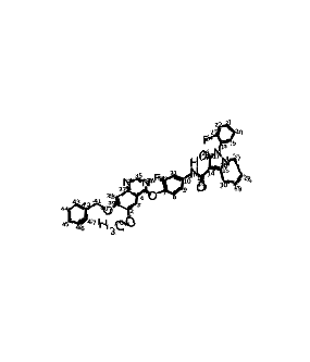 COc1cc2c(Oc3ccc(NC(=O)c4c5n(n(-c6ccccc6F)c4=O)CCCC5)cc3F)ncnc2cc1OCc1ccccc1